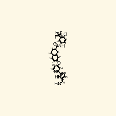 O=C(Nc1ccc(Cl)c(C(F)(F)F)c1)C1CCc2ccc(Oc3ccnc(-c4ncc(CO)[nH]4)c3)cc2C1